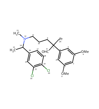 COc1cc(OC)cc(C(C=O)(CCCN(C)C(C)c2ccc(Cl)c(Cl)c2)C(C)C)c1